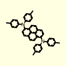 Cc1ccc(N(c2ccc(C)cc2)c2ccc3ccc4c(N(c5ccc(C)cc5)c5ccc(C)cc5)ccc5ccc2c3c54)cc1